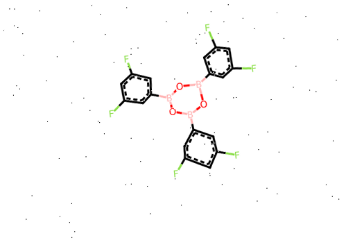 Fc1cc(F)cc(B2OB(c3cc(F)cc(F)c3)OB(c3cc(F)cc(F)c3)O2)c1